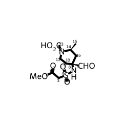 COC(=O)CS(=O)(=O)N[C@]1(C=O)CCN(C(=O)O)[C@@H](C)C1